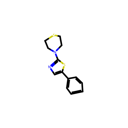 c1ccc(-c2cnc(N3CCSCC3)s2)cc1